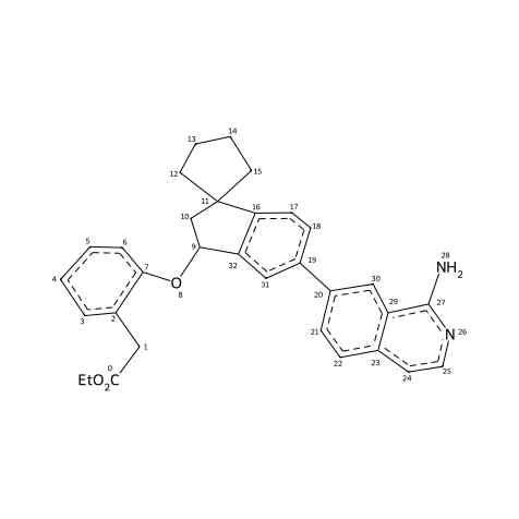 CCOC(=O)Cc1ccccc1OC1CC2(CCCC2)c2ccc(-c3ccc4ccnc(N)c4c3)cc21